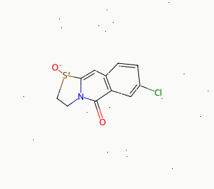 O=c1c2cc(Cl)ccc2cc2n1CC[S+]2[O-]